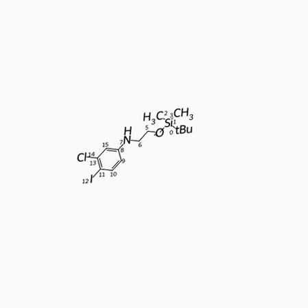 CC(C)(C)[Si](C)(C)OCCNc1ccc(I)c(Cl)c1